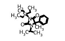 CC[Si](CC)(CC)N1C(=O)N(C(C)C)C(C)(c2ccccc2)C1=O